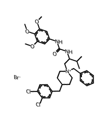 COc1cc(NC(=O)NC(C[N+]2(Cc3ccccc3)CCC(Cc3ccc(Cl)c(Cl)c3)CC2)C(C)C)cc(OC)c1OC.[Br-]